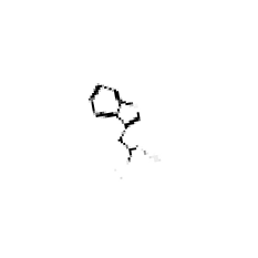 O=C(O)C(Cc1c[nH]c2ccccc12)N[N+](=O)[O-]